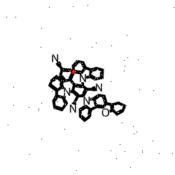 N#Cc1ccc(-c2c(-n3c4ccccc4c4ccccc43)c(C#N)c(-n3c4ccccc4c4c5oc6c(c5ccc43)CCC=C6)c(C#N)c2-n2c3ccccc3c3ccccc32)cc1